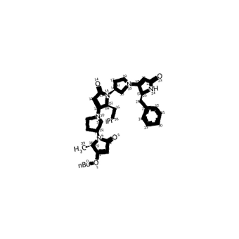 CCCCOC1=CC(=O)N([C@H]2CCN(C3=CC(=O)N([C@H]4CCN(C5=CC(=O)N[C@H]5Cc5ccccc5)C4)[C@H]3CC(C)C)C2)[C@H]1C